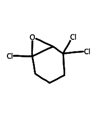 ClC1(Cl)CCCC2(Cl)OC12